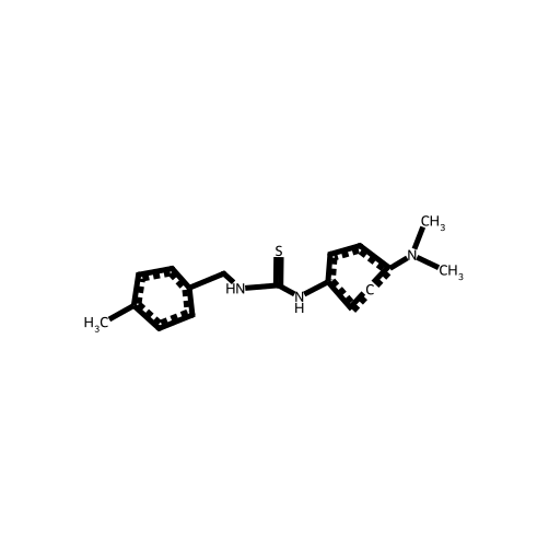 Cc1ccc(CNC(=S)Nc2ccc(N(C)C)cc2)cc1